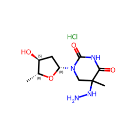 C[C@H]1O[C@@H](N2CC(C)(NN)C(=O)NC2=O)C[C@@H]1O.Cl